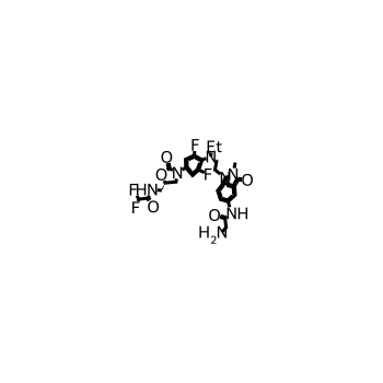 CCN(CCn1c2ccc(NC(=O)CN)cc2c(=O)n1C)c1c(F)cc(N2C[C@H](CNC(=O)C(F)F)OC2=O)cc1F